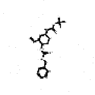 C=CC1CC(NC(=O)OC(C)(C)C)CCC1NC(=O)OCc1ccccc1